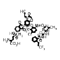 C#CCN1C(=O)COc2cc(F)c(N3C(=O)C4=C(CCCC4)C3=O)cc21.COc1c(Cl)ccc(Cl)c1C(=O)O.COc1nc(C)nc(NC(=O)NS(=O)(=O)c2ccccc2CCC(F)(F)F)n1.CP(=O)(O)CCC(N)C(=O)O